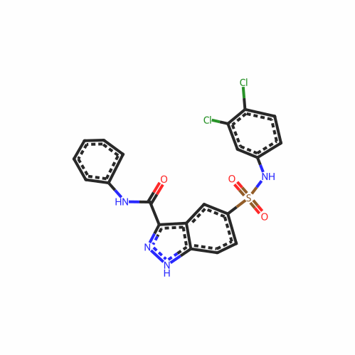 O=C(Nc1ccccc1)c1n[nH]c2ccc(S(=O)(=O)Nc3ccc(Cl)c(Cl)c3)cc12